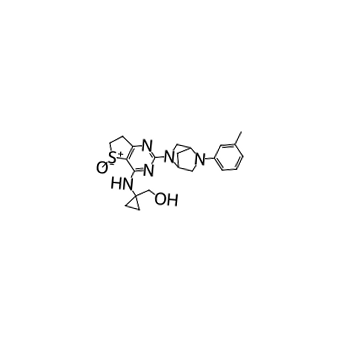 Cc1cccc(N2CC3CC2CN3c2nc3c(c(NC4(CO)CC4)n2)[S+]([O-])CC3)c1